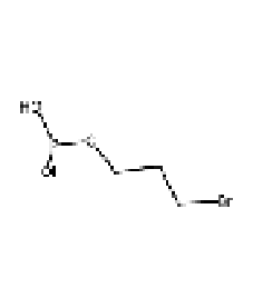 OP(O)OCCCBr